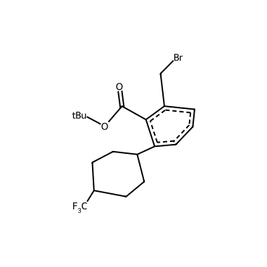 CC(C)(C)OC(=O)c1c(CBr)cccc1C1CCC(C(F)(F)F)CC1